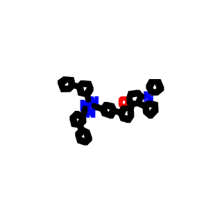 C1=CC2C(c3ccccc3N2c2ccccc2)c2c1oc1c(-c3ccc(-c4nc(-c5cccc(-c6ccccc6)c5)nc(-c5cccc(-c6ccccc6)c5)n4)cc3)cccc21